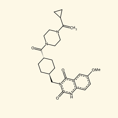 C=C(C1CC1)N1CCN(C(=O)[C@H]2CC[C@H](Cn3c(=O)[nH]c4ccc(OC)cc4c3=O)CC2)CC1